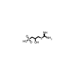 N=C(N)SCC(O)CS(=O)(=O)O